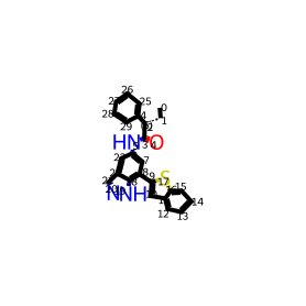 CC[C@H](C(=O)Nc1cc(-c2cc3ccccc3s2)c2[nH]ncc2c1)c1ccccc1